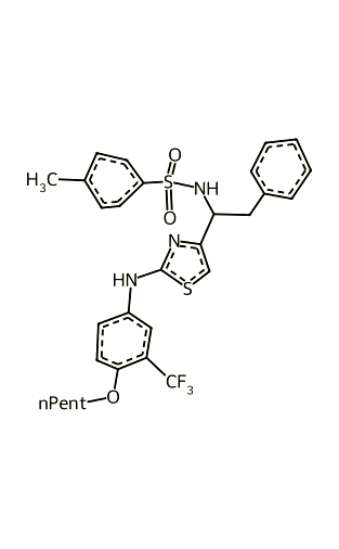 CCCCCOc1ccc(Nc2nc(C(Cc3ccccc3)NS(=O)(=O)c3ccc(C)cc3)cs2)cc1C(F)(F)F